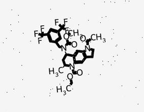 CCOC(=O)N1c2cc3c(cc2[C@@H](N(Cc2cc(C(F)(F)F)cc(C(F)(F)F)c2)C(=O)OC)C[C@H]1C)N(C(C)=O)CC3